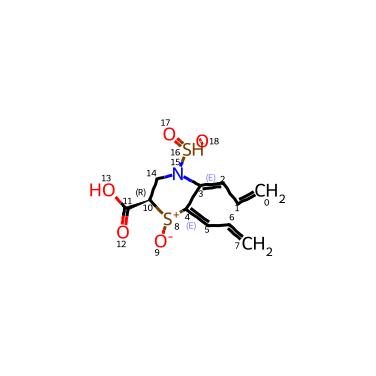 C=C/C=C1\C(=C/C=C)[S+]([O-])[C@@H](C(=O)O)CN1[SH](=O)=O